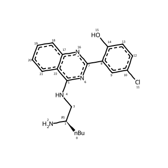 CCCC[C@@H](N)CNc1nc(-c2cc(Cl)ccc2O)nc2ccccc12